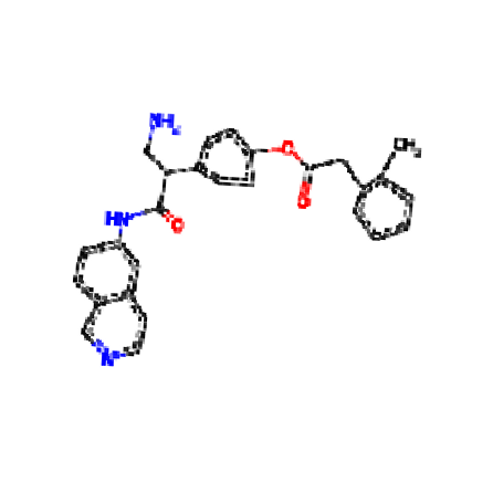 Cc1ccccc1CC(=O)Oc1ccc(C(CN)C(=O)Nc2ccc3cnccc3c2)cc1